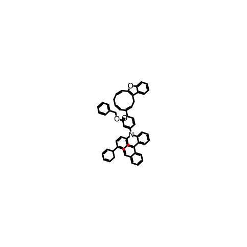 O=C(/C=C(\C=C/CC1=C/Cc2c(oc3ccccc23)/C=C\C/C=C\1)N(c1ccc(C2C=CC=CC2)cc1)c1ccccc1-c1cccc2ccccc12)OCc1ccccc1